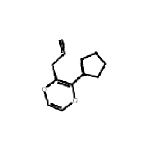 C=CCC1=C(C2CCCC2)OC=CO1